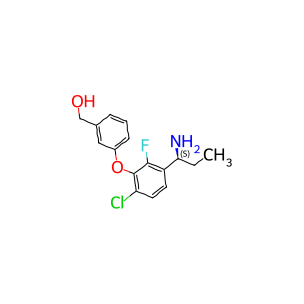 CC[C@H](N)c1ccc(Cl)c(Oc2cccc(CO)c2)c1F